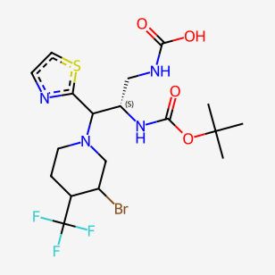 CC(C)(C)OC(=O)N[C@@H](CNC(=O)O)C(c1nccs1)N1CCC(C(F)(F)F)C(Br)C1